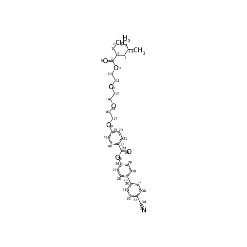 CCC(CC(C)C)C(=O)OCCOCCOCCOc1ccc(C(=O)Oc2ccc(-c3ccc(C#N)cc3)cc2)cc1